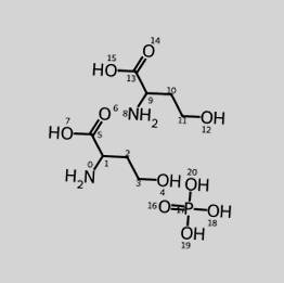 NC(CCO)C(=O)O.NC(CCO)C(=O)O.O=P(O)(O)O